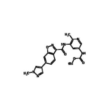 Cc1ncc(NC(=O)OC(C)(C)C)cc1NC(=O)c1noc2cc(-c3cnn(C)c3)ccc12